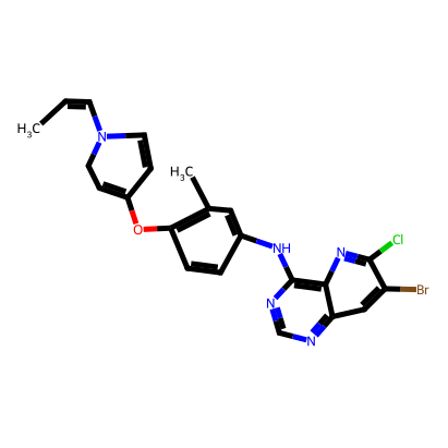 C/C=C\N1C=CC(Oc2ccc(Nc3ncnc4cc(Br)c(Cl)nc34)cc2C)=CC1